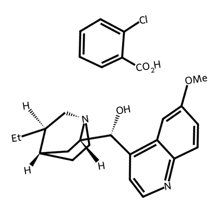 CC[C@H]1C[N@]2CC[C@H]1C[C@H]2[C@H](O)c1ccnc2ccc(OC)cc12.O=C(O)c1ccccc1Cl